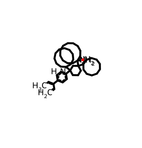 C=C/C(=C\C)c1ccc(C2(C3(N)CCCCCCCCCC3)CCCC(C3(N)CCCCCCCCCCC3)(C3(N)CCCCCCCCC3)C2)cc1